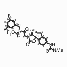 CNC(=O)Nc1ccc2c(c1)CC[C@@]21OC(=O)N(CC(=O)N(Cc2cc(F)cc(F)c2)C(C)C(F)(F)F)C1=O